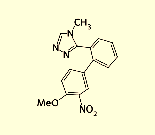 COc1ccc(-c2ccccc2-c2nncn2C)cc1[N+](=O)[O-]